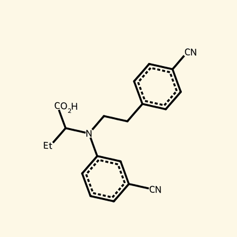 CCC(C(=O)O)N(CCc1ccc(C#N)cc1)c1cccc(C#N)c1